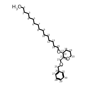 CCCCCCCCCCCCCCCCO[C@H]1CCCO[C@H]1COCc1ccccc1